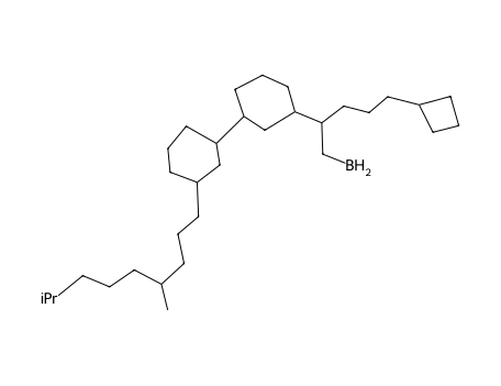 BCC(CCCC1CCC1)C1CCCC(C2CCCC(CCCC(C)CCCC(C)C)C2)C1